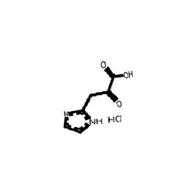 Cl.O=C(O)C(=O)Cc1ncc[nH]1